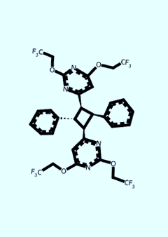 FC(F)(F)COc1cc([C@H]2[C@H](c3ccccc3)[C@@H](c3cc(OCC(F)(F)F)nc(OCC(F)(F)F)n3)[C@H]2c2ccccc2)nc(OCC(F)(F)F)n1